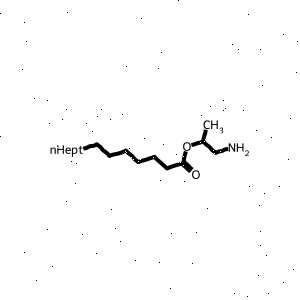 CCCCCCCCCCCCCC(=O)OC(C)CN